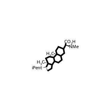 CCC[C@@H](C)[C@H]1CCC2C3CCC4CC([C@H](NC)C(=O)O)CC[C@]4(C)C3CC[C@@]21C